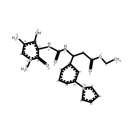 CCOC(=O)CC(NC(=O)Nc1c(O)c(C)cn(C)c1=O)c1cccc(-n2cccc2)c1